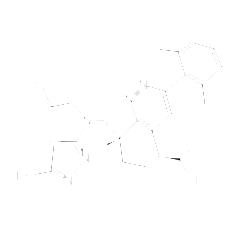 Cc1nnc(N(CCO)C[C@@]2(C)CC[C@H](C(C)C)c3cc(-c4c(F)cccc4F)nnc32)o1